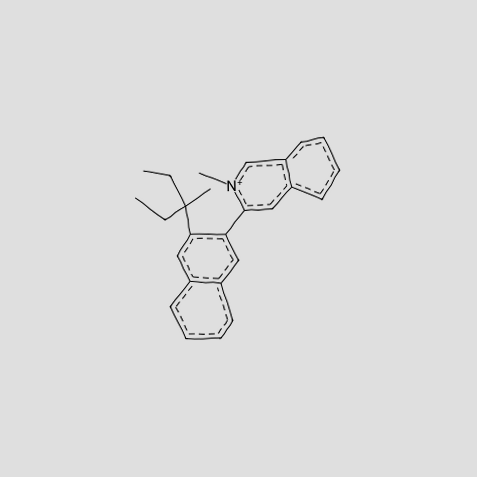 CCC(C)(CC)c1cc2ccccc2cc1-c1cc2ccccc2c[n+]1C